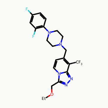 CCOCc1nnc2c(C(F)(F)F)c(CN3CCN(c4ccc(F)cc4F)CC3)ccn12